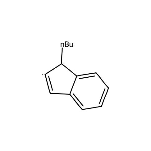 CCCCC1[C]=Cc2ccccc21